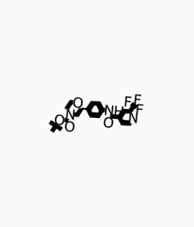 CC(C)(C)OC(=O)N1CCO[C@@H](c2ccc(NC(=O)c3ccnc(C(F)(F)F)c3)cc2)C1